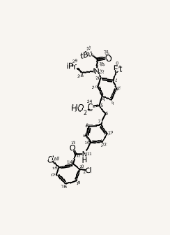 CCc1ccc(C(Cc2ccc(NC(=O)c3c(Cl)cccc3Cl)cc2)C(=O)O)cc1N(CC(C)C)C(=O)C(C)(C)C